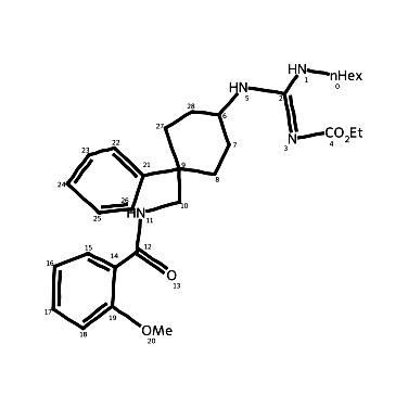 CCCCCCNC(=NC(=O)OCC)NC1CCC(CNC(=O)c2ccccc2OC)(c2ccccc2)CC1